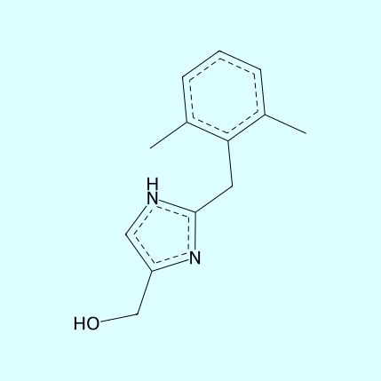 Cc1cccc(C)c1Cc1nc(CO)c[nH]1